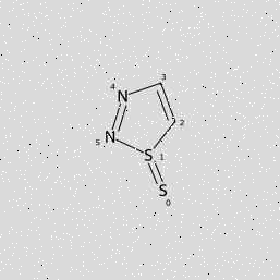 S=S1C=CN=N1